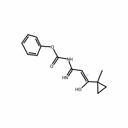 CC1(/C(O)=C/C(=N)NC(=O)Oc2ccccc2)CC1